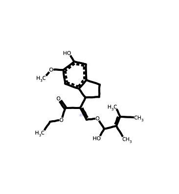 CCOC(=O)/C(=C/OC(O)C(C)=C(C)C)C1CCc2cc(O)c(OC)cc21